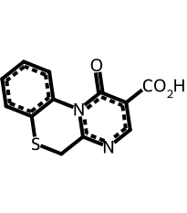 O=C(O)c1cnc2n(c1=O)-c1ccccc1SC2